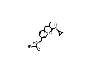 CC(C)C(=O)NCc1ccc(CC(C)C(=O)NC2CC2)nc1